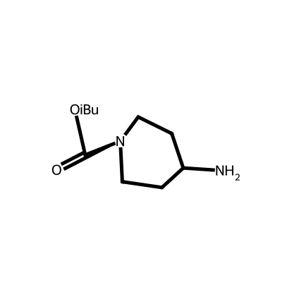 CC(C)COC(=O)N1CCC(N)CC1